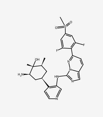 C[C@H]1C[C@@H](c2ccncc2Nc2ncc3ccc(-c4c(F)cc(S(C)(=O)=O)cc4F)nn23)C[C@@H](N)[C@]1(C)O